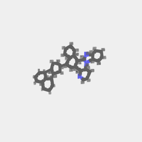 c1cc2c3c(cccc3c1)-c1cc(-c3cc4c5ncccc5n5c6ccccc6nc5c4c4ccccc34)ccc1-2